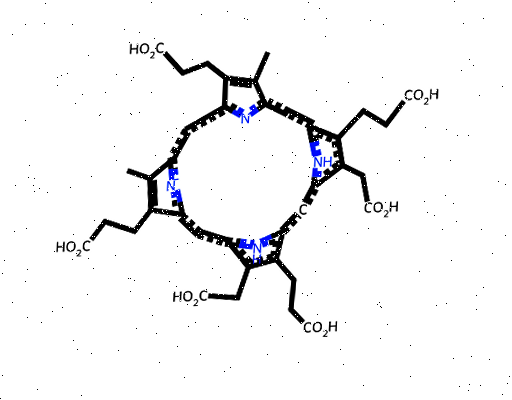 CC1=C(CCC(=O)O)c2cc3nc(cc4[nH]c(cc5[nH]c(cc1n2)c(CCC(=O)O)c5CC(=O)O)c(CCC(=O)O)c4CC(=O)O)C(CCC(=O)O)=C3C